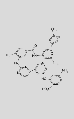 Cc1cn(-c2cc(NC(=O)c3ccc(C)c(Nc4nccc(-c5cccnc5)n4)c3)cc(C(F)(F)F)c2)cn1.Nc1ccc(C(=O)O)c(O)c1